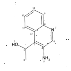 CC(O)c1c(N)cnc2ccccc12